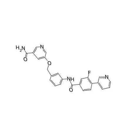 NC(=O)c1cncc(OCc2cccc(NC(=O)c3ccc(-c4cccnc4)c(F)c3)c2)c1